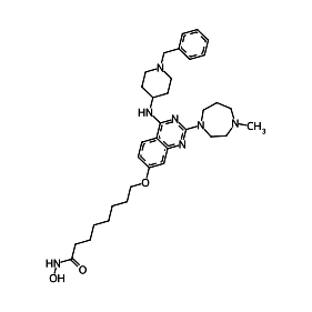 CN1CCCN(c2nc(NC3CCN(Cc4ccccc4)CC3)c3ccc(OCCCCCCCC(=O)NO)cc3n2)CC1